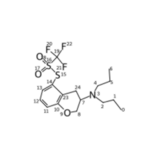 CCCN(CCC)C1COc2cccc(SS(=O)(=O)C(F)(F)F)c2C1